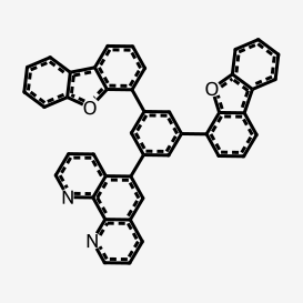 c1cnc2c(c1)cc(-c1cc(-c3cccc4c3oc3ccccc34)cc(-c3cccc4c3oc3ccccc34)c1)c1cccnc12